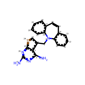 Nc1nc(N)c2c(CN3c4ccccc4C=Cc4ccccc43)csc2n1